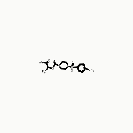 CCCC(=O)C(OC(=O)N1CCN(S(=O)(=O)c2ccc(C)cc2)CC1)C(F)(F)F